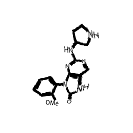 COc1ccccc1-n1c(=O)[nH]c2cnc(NC3CCNC3)nc21